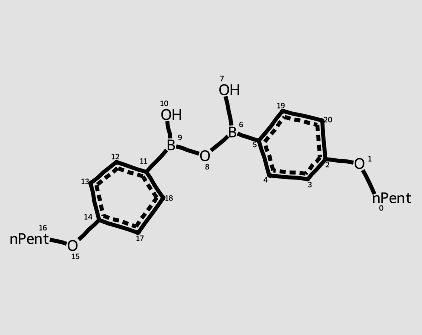 CCCCCOc1ccc(B(O)OB(O)c2ccc(OCCCCC)cc2)cc1